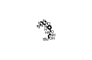 CN(C)c1ncc2ncnc(Nc3cc(C(=O)NC(=N)/C=C(\O)C(C)(C)C)ccc3Cl)c2n1